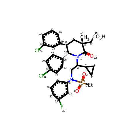 CCS(=O)(=O)N(CC(C1CC1)N1C(=O)[C@@](C)(CC(=O)O)C[C@H](c2cccc(Cl)c2)[C@H]1c1ccc(Cl)cc1)c1cccc(F)c1